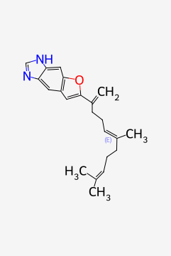 C=C(CC/C=C(\C)CCC=C(C)C)c1cc2cc3nc[nH]c3cc2o1